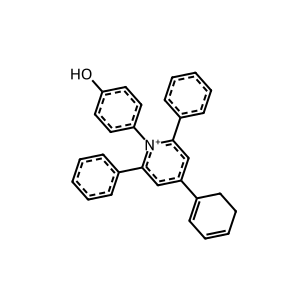 Oc1ccc(-[n+]2c(-c3ccccc3)cc(C3=CC=CCC3)cc2-c2ccccc2)cc1